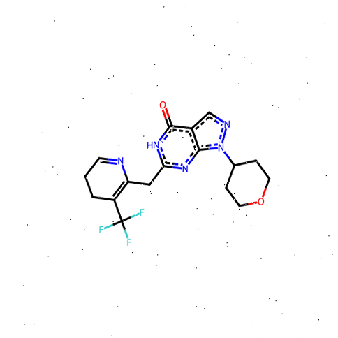 O=c1[nH]c(CC2=C(C(F)(F)F)CCC=N2)nc2c1cnn2C1CCOCC1